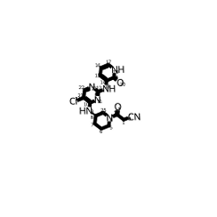 N#CCC(=O)N1CCC[C@@H](Nc2nc(Nc3ccc[nH]c3=O)ncc2Cl)C1